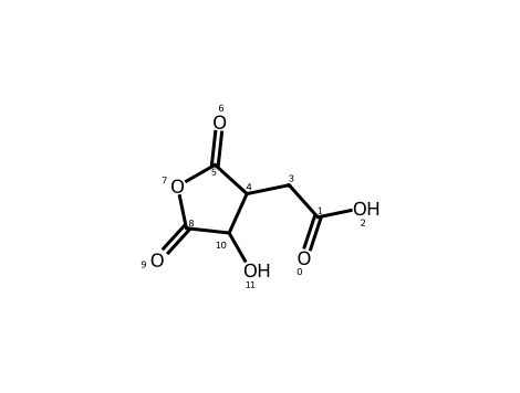 O=C(O)CC1C(=O)OC(=O)C1O